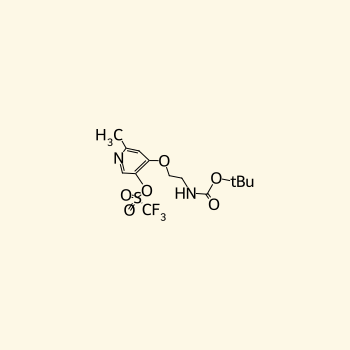 Cc1cc(OCCNC(=O)OC(C)(C)C)c(OS(=O)(=O)C(F)(F)F)cn1